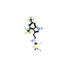 CSC(=S)NCCc1c[nH]c2cc(C(F)(F)F)cc(C(F)(F)F)c12